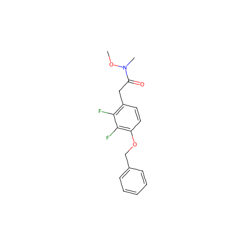 CON(C)C(=O)Cc1ccc(OCc2ccccc2)c(F)c1F